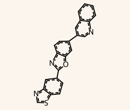 c1ccc2ncc(-c3ccc4nc(-c5ccc6scnc6c5)oc4c3)cc2c1